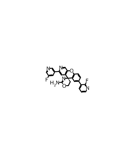 NC1=N[C@@]2(CCO1)c1cc(-c3cccnc3F)ccc1Oc1cnc(-c3cncc(F)c3)cc12